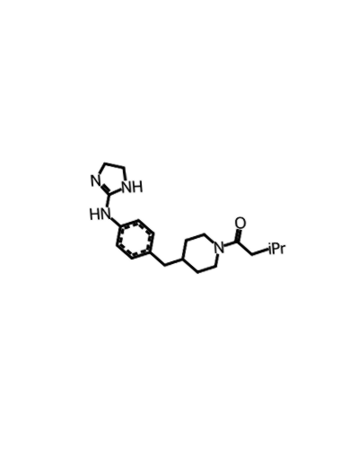 CC(C)CC(=O)N1CCC(Cc2ccc(NC3=NCCN3)cc2)CC1